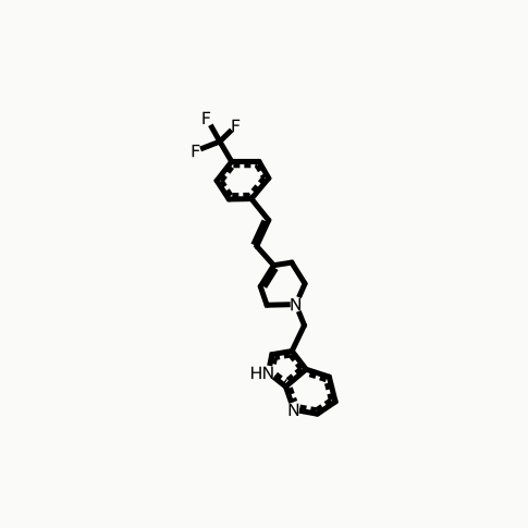 FC(F)(F)c1ccc(/C=C/C2=CCN(Cc3c[nH]c4ncccc34)CC2)cc1